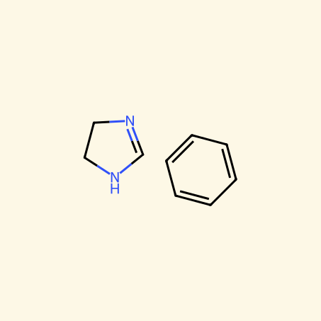 C1=NCCN1.c1ccccc1